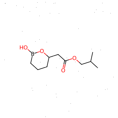 CC(C)COC(=O)CC1CCCB(O)O1